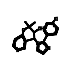 CC1(C)Oc2ccncc2C(n2ccnc2-c2ccc(Cl)cc2)C1O